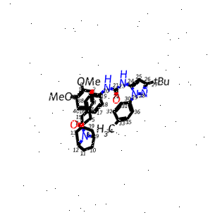 COc1ccc(CC(=O)N2C3CCC2CC(Cc2ccc(NC(=O)Nc4cc(C(C)(C)C)nn4-c4ccc(C)cc4)cc2)C3)cc1OC